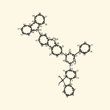 CC1(C)c2ccccc2-c2ccc(-c3nc(-c4ccccc4)nc(-c4ccc5c(c4)oc4cc(-n6c7ccccc7c7ccccc76)ccc45)n3)cc21